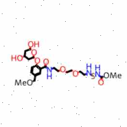 COCc1ccc(OC2CC(O)CC(O)O2)c(C(=O)NCCOCCOCCNSNC(=O)OC)c1